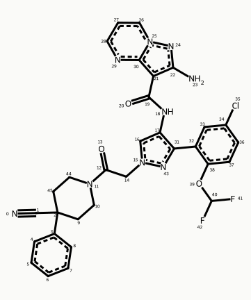 N#CC1(c2ccccc2)CCN(C(=O)Cn2cc(NC(=O)c3c(N)nn4cccnc34)c(-c3cc(Cl)ccc3OC(F)F)n2)CC1